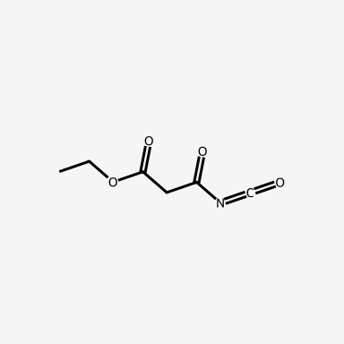 CCOC(=O)CC(=O)N=C=O